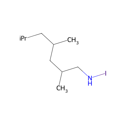 CC(C)CC(C)CC(C)CNI